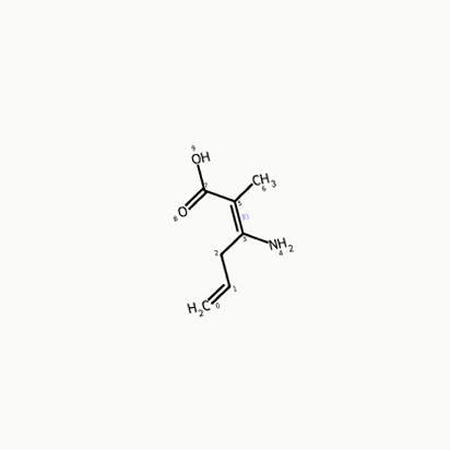 C=CC/C(N)=C(/C)C(=O)O